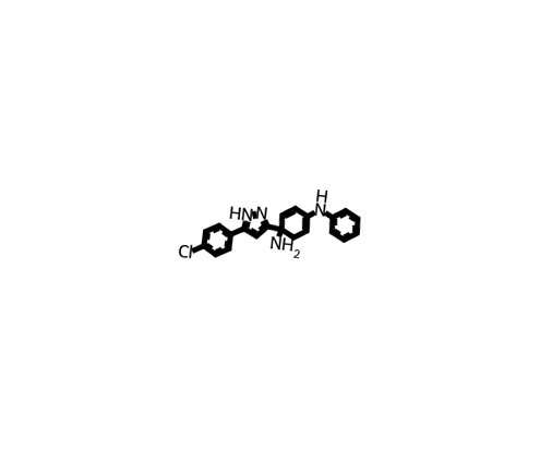 NC1(c2cc(-c3ccc(Cl)cc3)[nH]n2)C=CC(Nc2ccccc2)=CC1